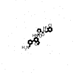 NCc1cccc(-c2cc(NC(=O)N3CCC[C@H]3C(=O)NCc3cccc(Cl)c3F)cc3ccoc23)c1